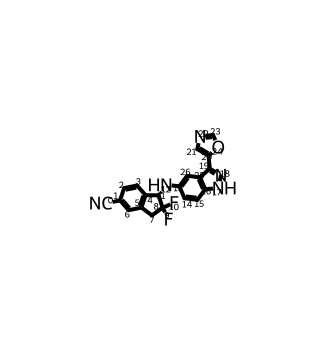 N#Cc1ccc2c(c1)CC(F)(F)[C@@H]2Nc1ccc2[nH]nc(-c3cnco3)c2c1